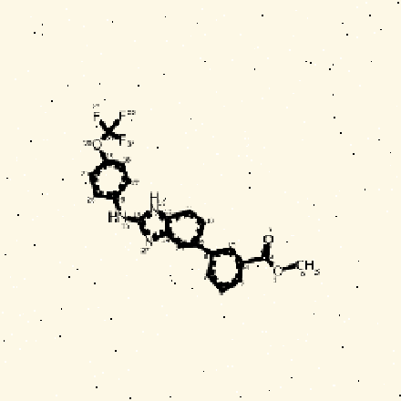 COC(=O)c1cccc(-c2ccc3[nH]c(Nc4ccc(OC(F)(F)F)cc4)nc3c2)c1